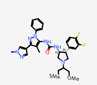 COCC(CSC)N1C[C@@H](NC(=O)Nc2c(C)c(-c3cnn(C)c3)nn2-c2ccccc2)[C@H](c2ccc(F)c(F)c2)C1